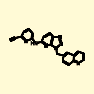 C#Cc1cccc(Nc2ccc3nnn(Cc4ccc5ncccc5c4)c3n2)n1